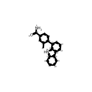 Cc1cc(C(N)=O)ccc1-c1cccc2c1[nH]c1ccccc12